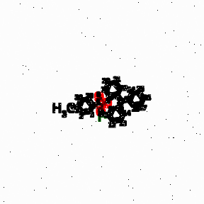 Cc1ccc(S(=O)(=O)Oc2c(F)cccc2C(c2ccccc2)c2ccccc2)cc1